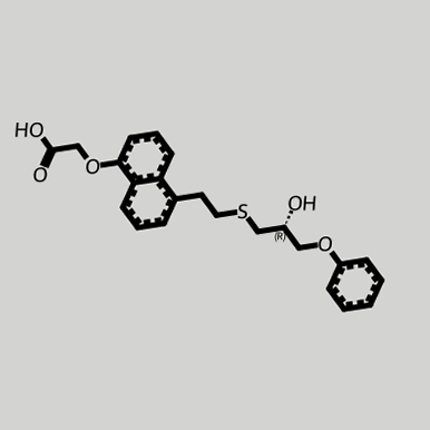 O=C(O)COc1cccc2c(CCSC[C@H](O)COc3ccccc3)cccc12